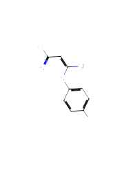 Cc1ccc(N/C(N)=C\C(=N)C(C)(C)C)cc1